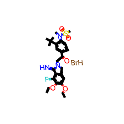 Br.CCOc1cc2c(c(F)c1OCC)C(=N)N(CC(=O)c1ccc(N(C)S(C)(=O)=O)c(C(C)(C)C)c1)C2